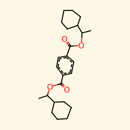 CC(OC(=O)c1ccc(C(=O)OC(C)C2CCCCC2)cc1)C1CCCCC1